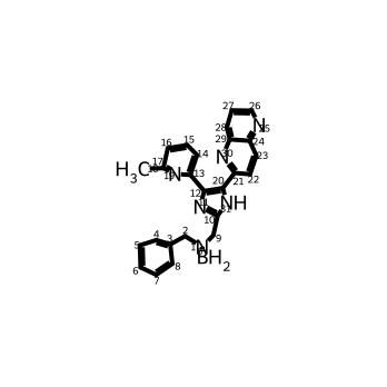 BN(Cc1ccccc1)Cc1nc(-c2cccc(C)n2)c(-c2ccc3ncccc3n2)[nH]1